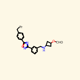 CC(C)Cc1ccc(-c2nc(-c3cccc(CNC4CC(OC=O)C4)c3)no2)cc1